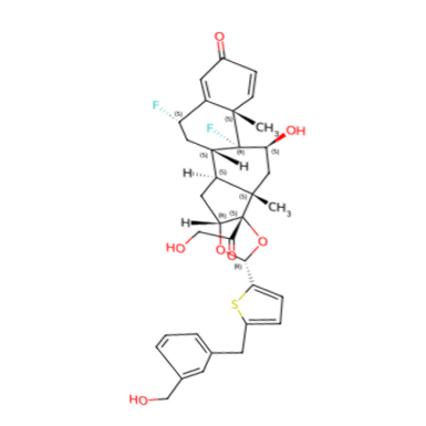 C[C@]12C=CC(=O)C=C1[C@@H](F)C[C@H]1[C@@H]3C[C@H]4O[C@@H](c5ccc(Cc6cccc(CO)c6)s5)O[C@@]4(C(=O)CO)[C@@]3(C)C[C@H](O)[C@@]12F